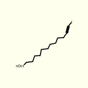 CCCCCCCCCCCCCCCCCCC#CI